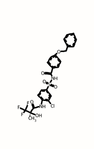 C[C@@](O)(C(=O)Nc1ccc(S(=O)(=O)NC(=O)c2ccc(OCc3ccccc3)cc2)cc1Cl)C(F)(F)F